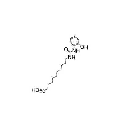 CCCCCCCCCCCCCCCCCCCCNC(=O)Nc1ccccc1O